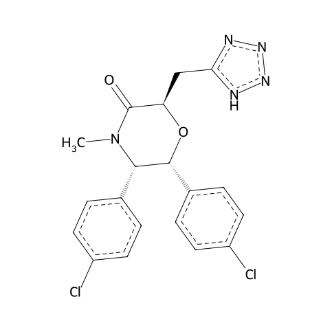 CN1C(=O)[C@@H](Cc2nnn[nH]2)O[C@H](c2ccc(Cl)cc2)[C@@H]1c1ccc(Cl)cc1